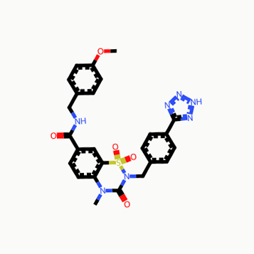 COc1ccc(CNC(=O)c2ccc3c(c2)S(=O)(=O)N(Cc2ccc(-c4nn[nH]n4)cc2)C(=O)N3C)cc1